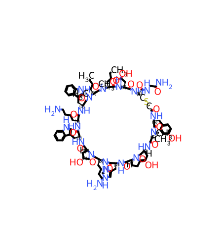 CCCC[C@H]1C(=O)N(C)[C@@H](CCCC)C(=O)N[C@@H](CC(=O)O)C(=O)N[C@H](C(=O)NCC(N)=O)CSCC(=O)N[C@@H](Cc2ccc(O)cc2)C(=O)N(C)[C@@H](C)C(=O)N[C@H]2CC(O)=C3CC[C@@H](C(=O)N[C@@H](Cc4c[nH]cn4)C(=O)N[C@@H](CCCCN)C(=O)N4C[C@H](O)C[C@H]4C(=O)N[C@@H](Cc4c[nH]c5ccccc45)C(=O)N[C@@H](CCCCN)C(=O)N[C@@H](Cc4c[nH]c5ccccc45)C(=O)N1C)N3C2=O